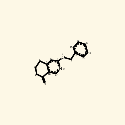 C=C1CCCc2cc(OCc3ccccc3)ncc21